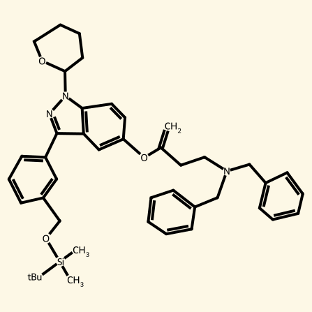 C=C(CCN(Cc1ccccc1)Cc1ccccc1)Oc1ccc2c(c1)c(-c1cccc(CO[Si](C)(C)C(C)(C)C)c1)nn2C1CCCCO1